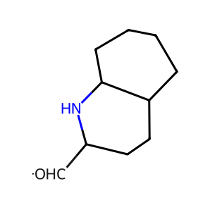 O=[C]C1CCC2CCCCC2N1